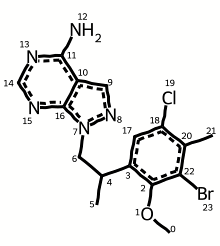 COc1c(C(C)Cn2ncc3c(N)ncnc32)cc(Cl)c(C)c1Br